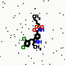 CCCCCS(=O)(=O)NC(=O)c1ccc2[nH]c(CC)c(Cc3ccc(Cl)cc3Cl)c2c1